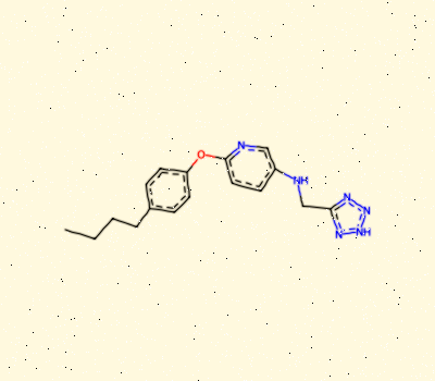 CCCCc1ccc(Oc2ccc(NCc3nn[nH]n3)cn2)cc1